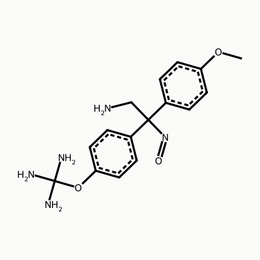 COc1ccc(C(CN)(N=O)c2ccc(OC(N)(N)N)cc2)cc1